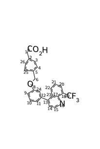 O=C(O)Cc1ccc(COc2cccc(-c3ccnc4c(C(F)(F)F)cccc34)c2)cc1